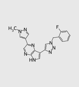 Cn1cc(-c2cnc3[nH]cc(-c4cn(Cc5ccccc5F)nn4)c3n2)cn1